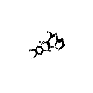 Cc1c(Cl)nc2[c]cnn2c1Nc1ccc(F)c(Cl)c1